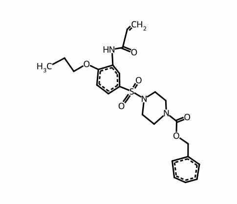 C=CC(=O)Nc1cc(S(=O)(=O)N2CCN(C(=O)OCc3ccccc3)CC2)ccc1OCCC